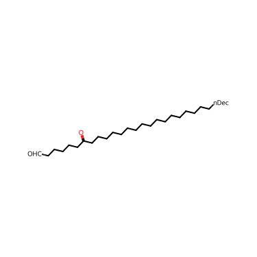 CCCCCCCCCCCCCCCCCCCCCCCCCCCC(=O)CCCCCC=O